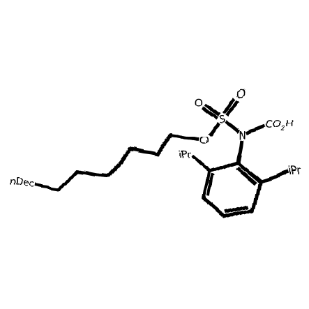 CCCCCCCCCCCCCCCCOS(=O)(=O)N(C(=O)O)c1c(C(C)C)cccc1C(C)C